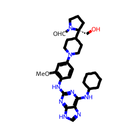 COc1cc(N2CCC([C@]3(CO)CCCN3C=O)CC2)ccc1Nc1nc(NC2CCCCC2)c2nc[nH]c2n1